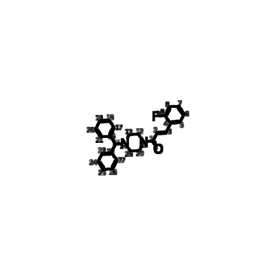 O=C(C=Cc1ccccc1F)N1CCN(C(c2ccccc2)c2ccccc2)CC1